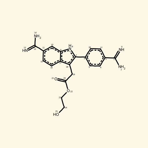 N=C(N)c1ccc(-c2[nH]c3cc(C(=N)N)ccc3c2CC(=O)OCCO)cc1